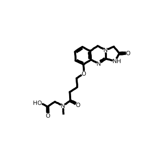 CN(CC(=O)O)C(=O)CCCOc1cccc2c1N=C1NC(=O)CN1C2